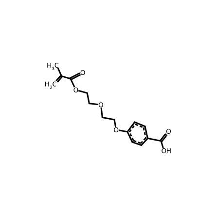 C=C(C)C(=O)OCCOCCOc1ccc(C(=O)O)cc1